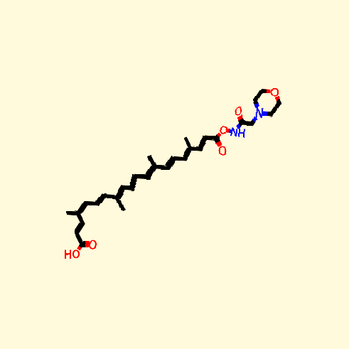 CC(=C/C=C/C(C)=C/C=C/C=C(C)/C=C/C=C(C)/C=C/C(=O)ONC(=O)CN1CCOCC1)/C=C/C(=O)O